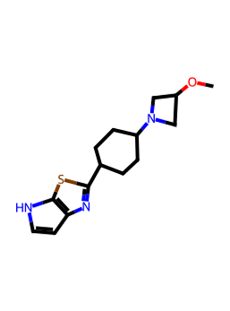 COC1CN(C2CCC(c3nc4cc[nH]c4s3)CC2)C1